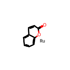 O=c1ccc2ccccc2o1.[Ru]